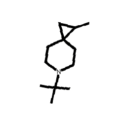 CC1CC12CCN(C(C)(C)C)CC2